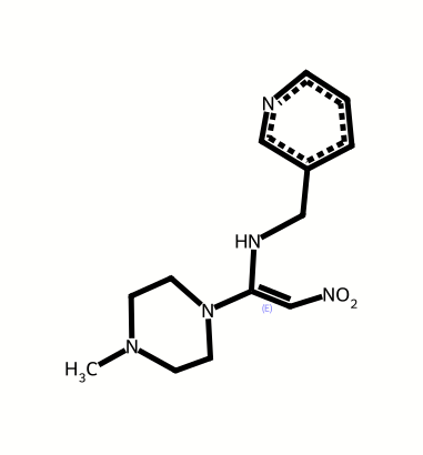 CN1CCN(/C(=C/[N+](=O)[O-])NCc2cccnc2)CC1